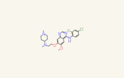 COc1cc2c(Nc3ccc(Cl)cc3F)ncnc2cc1OCCN(C)C1CCN(C)CC1